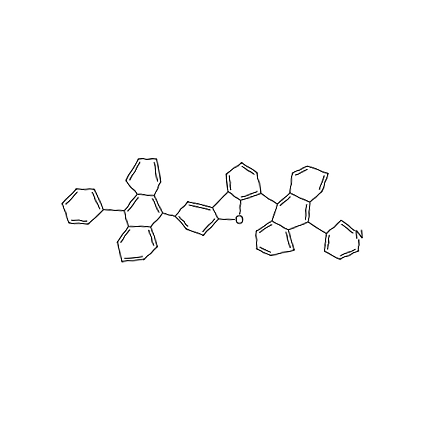 c1ccc(-c2c3ccccc3c(-c3ccc4oc5c(-c6c7ccccc7c(-c7cccnc7)c7ccccc67)cccc5c4c3)c3ccccc23)cc1